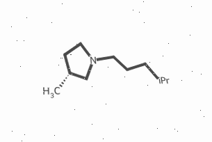 CC(C)CCCN1CC[C@@H](C)C1